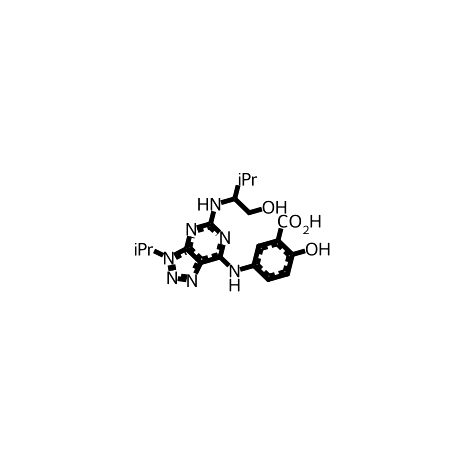 CC(C)C(CO)Nc1nc(Nc2ccc(O)c(C(=O)O)c2)c2nnn(C(C)C)c2n1